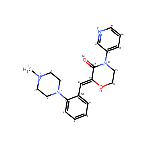 CN1CCN(c2ccccc2/C=C2\OCCN(c3cccnc3)C2=O)CC1